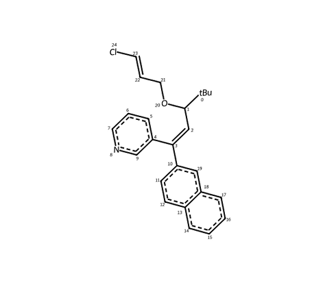 CC(C)(C)C(C=C(c1cccnc1)c1ccc2ccccc2c1)OCC=CCl